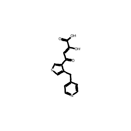 O=C(O)/C(O)=C/C(=O)c1cscc1Cc1ccncc1